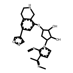 C=Nc1c(/C(C)=N\C)ccn1C1CC(Oc2cc(-c3cnoc3)cc3c2CNCC3)C(O)C1O